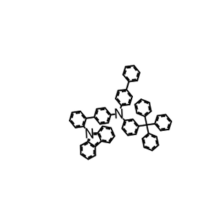 c1ccc(-c2ccc(N(c3ccc(-c4ccccc4-n4c5ccccc5c5ccccc54)cc3)c3cccc(C(c4ccccc4)(c4ccccc4)c4ccccc4)c3)cc2)cc1